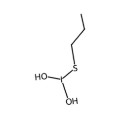 CCCSI(O)O